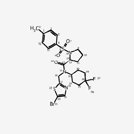 Cc1ccc(S(=O)(=O)N2CCC[C@H]2C(=O)N(Cc2ncc(Br)s2)C2CCC(F)(F)CC2)cc1